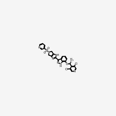 CC(Oc1cccc2c(-c3nc4c([nH]3)CN(S(=O)(=O)c3cccnc3)C4)n[nH]c12)c1c(Cl)cncc1Cl